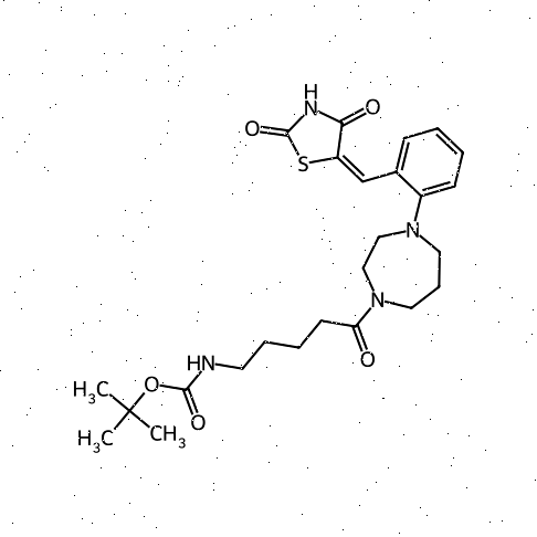 CC(C)(C)OC(=O)NCCCCC(=O)N1CCCN(c2ccccc2C=C2SC(=O)NC2=O)CC1